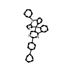 c1ccc(-c2ccc(-c3ncc4c(n3)-c3ccccc3C43c4ccccc4N(c4ccccc4)c4ccccc43)cc2)cc1